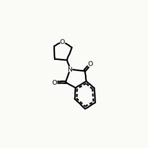 O=C1c2ccccc2C(=O)N1C1CCOC1